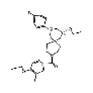 CCOc1ccc(C(=O)N2CCC3(CC2)C[C@@H](OCC)C[C@@H](c2ccc(F)cc2)O3)cc1F